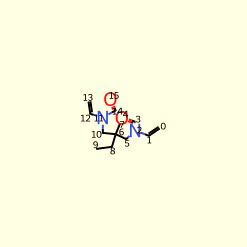 C=CN(C=O)CC(C)(CC)CN(C=C)C=O